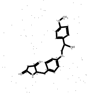 COc1ccc(C(O)COc2ccc(CC3SC(=O)CC3=O)cc2)cc1